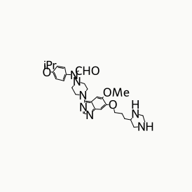 COc1cc2c(N3CCN(N(C=O)c4ccc(OC(C)C)cc4)CC3)ncnc2cc1OCCCC1CNCCN1